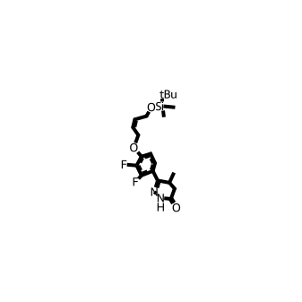 CC1CC(=O)NN=C1c1ccc(OC/C=C\CO[Si](C)(C)C(C)(C)C)c(F)c1F